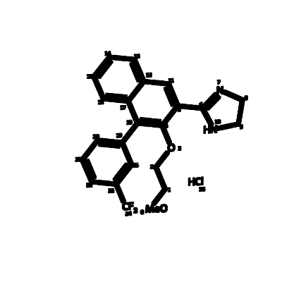 COCCOc1c(C2=NCCN2)cc2ccccc2c1-c1cccc(C(F)(F)F)c1.Cl